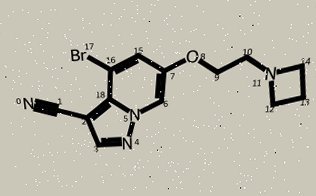 N#Cc1cnn2cc(OCCN3CCC3)cc(Br)c12